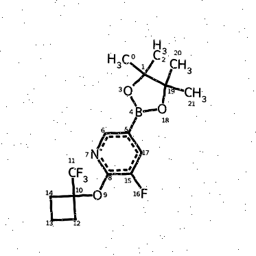 CC1(C)OB(c2cnc(OC3(C(F)(F)F)CCC3)c(F)c2)OC1(C)C